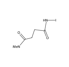 CNC(=O)CCC(=O)NI